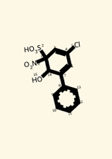 O=[N+]([O-])C1(S(=O)(=O)O)C=C(Cl)C=C(c2ccccc2)C1O